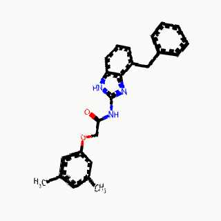 Cc1cc(C)cc(OCC(=O)Nc2nc3c(Cc4ccccc4)cccc3[nH]2)c1